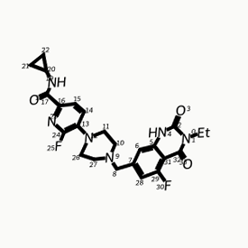 CCn1c(=O)[nH]c2cc(CN3CCN(c4ccc(C(=O)NC5CC5)nc4F)CC3)cc(F)c2c1=O